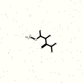 C=C(C(C)C)C(C)C(C)O[SiH3]